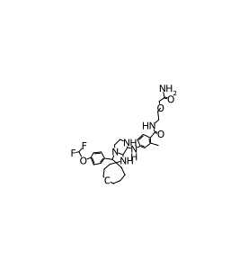 Cc1cc(NC2NCCN3C2NC2(CCCCCCCC2)C3c2ccc(OC(F)F)cc2)ccc1C(=O)NCCOCC(N)=O